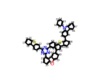 c1ccc(-c2nc(-c3ccc4c(c3)sc3ccccc34)nc(-c3cccc4oc5ccc(-c6ccc7sc8c(-c9ccc%10c(c9)c9ccccc9n%10-c9ccccc9)cccc8c7c6)cc5c34)n2)cc1